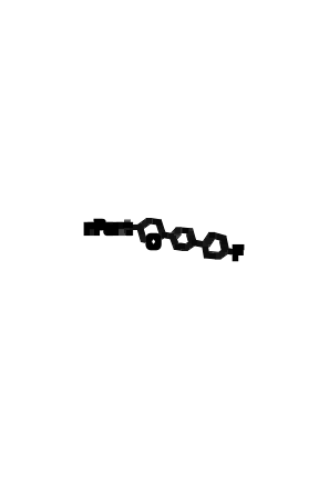 CCCCCC1CCC(c2ccc(-c3ccc(F)cc3)cc2)OC1